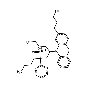 CCCCc1ccc2c(c1)N(C(CCCC)CC(CCCC)(c1ncccn1)S(=O)(=O)O)c1ccccc1S2